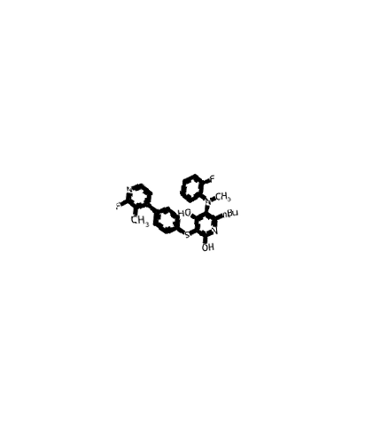 CCCCc1nc(O)c(Sc2ccc(-c3ccnc(F)c3C)cc2)c(O)c1N(C)c1ccccc1F